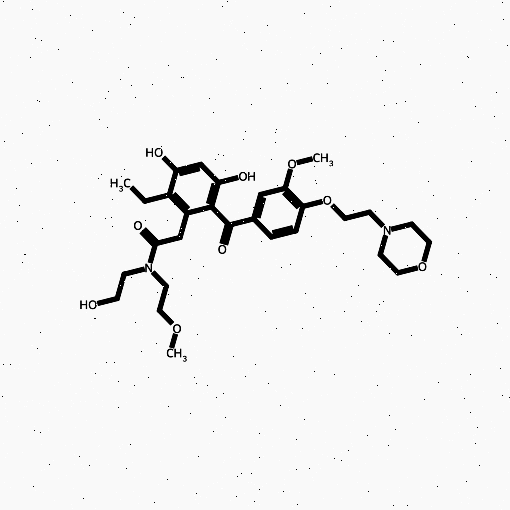 CCc1c(O)cc(O)c(C(=O)c2ccc(OCCN3CCOCC3)c(OC)c2)c1CC(=O)N(CCO)CCOC